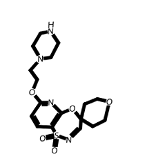 O=S1(=O)N=CC2(CCOCC2)Oc2nc(OCCN3CCNCC3)ccc21